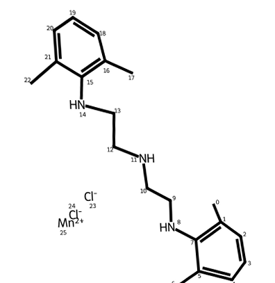 Cc1cccc(C)c1NCCNCCNc1c(C)cccc1C.[Cl-].[Cl-].[Mn+2]